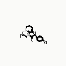 O=c1c(-c2ccc(Cl)cc2)nc2cccnc2n1CC(F)F